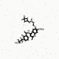 COc1cc2nc(C)cc(NC(C)c3cccc(C(F)(F)C(C)(C)O)c3F)c2cc1OCCN(C)CC1CC(F)(F)C1